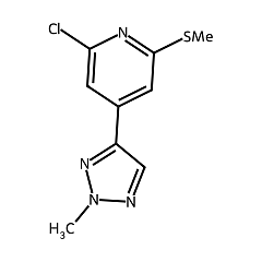 CSc1cc(-c2cnn(C)n2)cc(Cl)n1